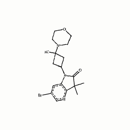 CC1(C)C(=O)N(C2CC(C#N)(N3CCOCC3)C2)c2cc(Br)cnc21